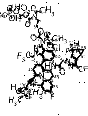 C[C@@H](C(=O)O)N(CCOC(=O)N(c1nn(CC(F)(F)F)c2c(-c3ccc(C#CC(C)(C)S(C)(=O)=O)nc3[C@H](Cc3cc(F)cc(F)c3)NC(=O)Cn3nc(C(F)(F)F)c4c3C(F)(F)[C@@H]3CC43)ccc(Cl)c12)S(C)(=O)=O)C(=O)OCOP(=O)(O)O